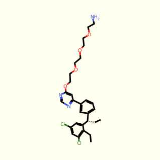 CCc1c(Cl)cc(Cl)cc1[C@@H](CC)c1cccc(-c2cc(OCCOCCOCCOCCN)ncn2)c1